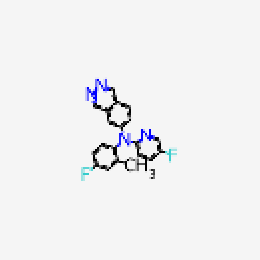 Cc1cc(F)ccc1N(c1ccc2cnncc2c1)c1ccc(F)cn1